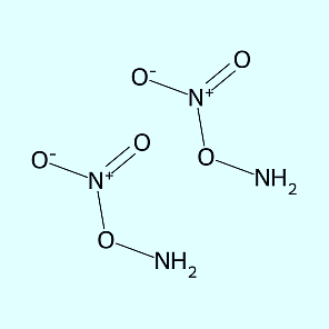 NO[N+](=O)[O-].NO[N+](=O)[O-]